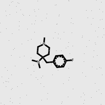 CN1CCC(Cc2ccc(F)cc2)(N(C)C)CC1